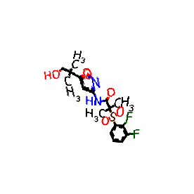 CC(C)(CO)c1cc(NC(=O)C(C)(C)S(=O)(=O)c2cccc(F)c2F)no1